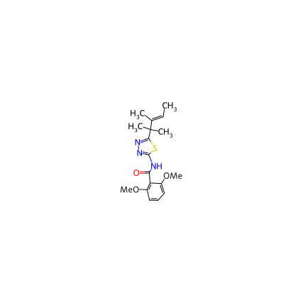 CC=C(C)C(C)(C)c1nnc(NC(=O)c2c(OC)cccc2OC)s1